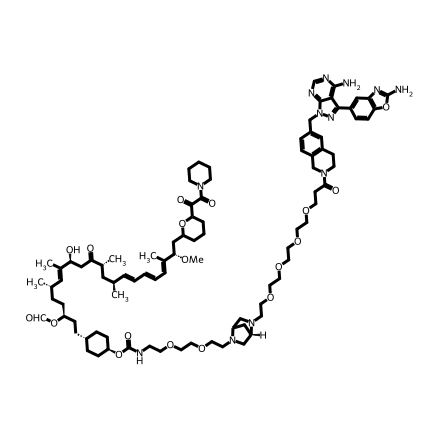 CO[C@@H](CC1CCCC(C(=O)C(=O)N2CCCCC2)O1)/C(C)=C/C=C/C=C/[C@@H](C)C[C@@H](C)C(=O)C[C@H](O)/C(C)=C/[C@@H](C)CC[C@@H](CC[C@H]1CC[C@H](OC(=O)NCCOCCOCCN2C[C@@H]3CC2CN3CCOCCOCCOCCOCCC(=O)N2CCc3cc(Cn4nc(-c5ccc6oc(N)nc6c5)c5c(N)ncnc54)ccc3C2)CC1)OC=O